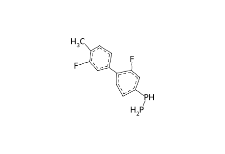 Cc1ccc(-c2ccc(PP)cc2F)cc1F